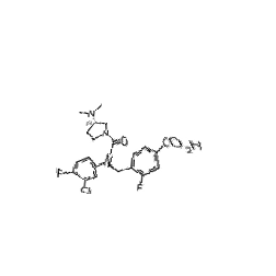 CN(C)[C@H]1CCN(C(=O)N(Cc2ccc(C(=O)O)cc2F)c2ccc(F)c(Cl)c2)C1